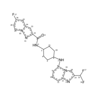 O=C(NC1CCC(Nc2cccc3nc(C(F)F)cn23)CC1)c1cc2cc(F)ccn2n1